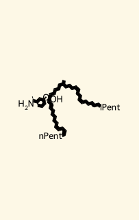 CCCCC/C=C\C/C=C\CCCCC/C=C/CC(O)(CCCCCC(C)CCC/C=C\CC/C=C\CCC=CCC(C)CCC)O[C@H]1CCC[C@@H]([C@@H](C)N)C1